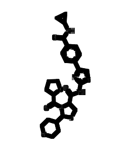 O=C(NC1CC1)c1ccc(-c2csc(NC(=O)C3CSC(C4CCOCC4)N3C(=O)C3CCCO3)n2)cc1